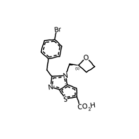 O=C(O)c1cc2c(nc(Cc3ccc(Br)cc3)n2C[C@@H]2CCO2)s1